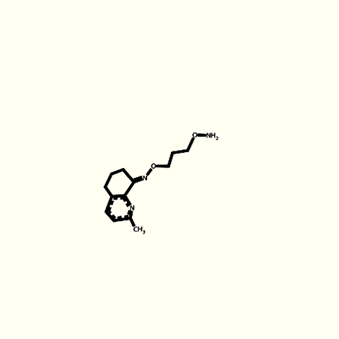 Cc1ccc2c(n1)/C(=N/OCCCON)CCC2